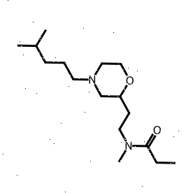 CCC(=O)N(C)CCC1CN(CCCC(C)C)CCO1